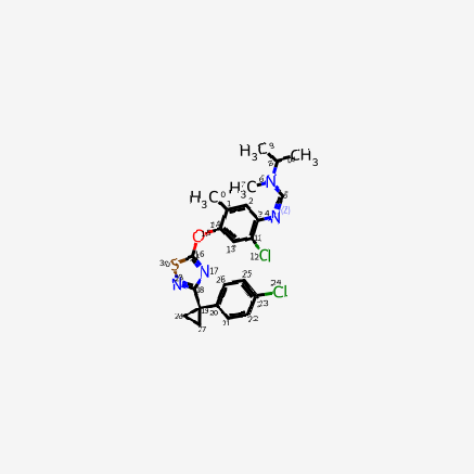 Cc1cc(/N=C\N(C)C(C)C)c(Cl)cc1Oc1nc(C2(c3ccc(Cl)cc3)CC2)ns1